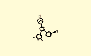 Cc1cc(-c2sc(N3C4CNCC3C4)nc2-c2cccc(C#N)c2)cc(C)n1